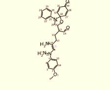 COc1ccc(N(N)/C=C(\N)CCC(C=O)COC2(N(C)c3ccccc3)C=CC(=O)C=C2)cc1